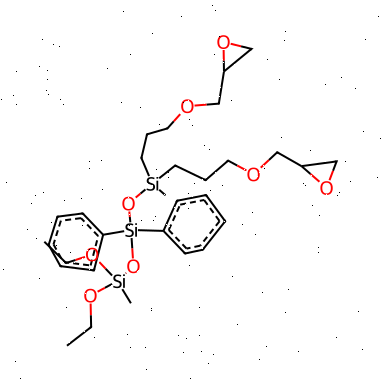 CCO[Si](C)(OCC)O[Si](O[Si](C)(CCCOCC1CO1)CCCOCC1CO1)(c1ccccc1)c1ccccc1